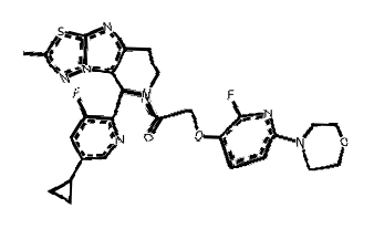 Cc1nn2c3c(nc2s1)CCN(C(=O)COc1ccc(N2CCOCC2)nc1F)C3c1ncc(C2CC2)cc1F